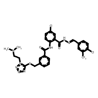 CN(C)CCn1nnnc1SCc1cccc(C(=O)Nc2ccc(Cl)cc2C(=O)NN=Cc2ccc(Cl)c(C(F)(F)F)c2)c1